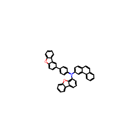 c1ccc2c(c1)ccc1ccc(N(c3ccc(-c4ccc5oc6ccccc6c5c4)cc3)c3cccc4c3oc3ccccc34)cc12